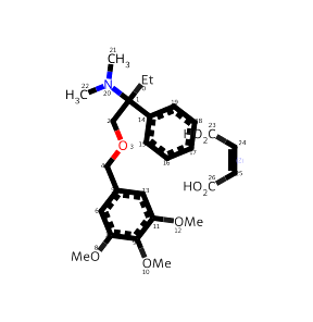 CCC(COCc1cc(OC)c(OC)c(OC)c1)(c1ccccc1)N(C)C.O=C(O)/C=C\C(=O)O